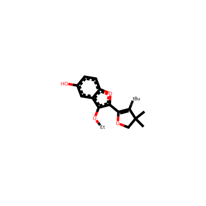 CCOc1c(C2=C(C(C)(C)C)C(C)(C)CO2)oc2ccc(O)cc12